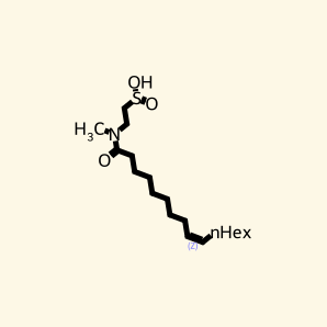 CCCCCC/C=C\CCCCCCCC(=O)N(C)CCS(=O)O